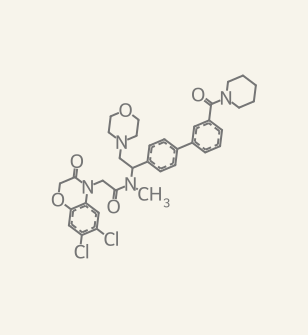 CN(C(=O)CN1C(=O)COc2cc(Cl)c(Cl)cc21)C(CN1CCOCC1)c1ccc(-c2cccc(C(=O)N3CCCCC3)c2)cc1